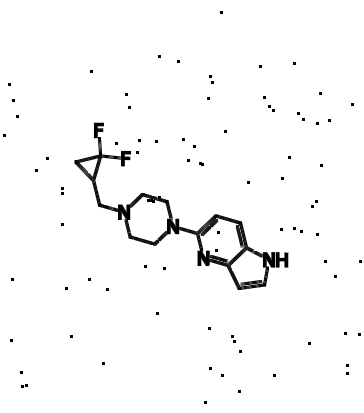 FC1(F)CC1CN1CCN(c2ccc3[nH]ccc3n2)CC1